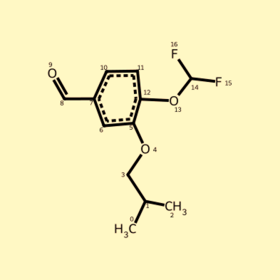 CC(C)COc1cc(C=O)ccc1OC(F)F